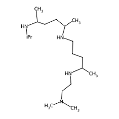 CC(C)NC(C)CCC(C)NCCCC(C)NCCN(C)C